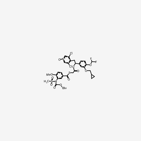 COc1ccc(C(=O)SCC(=O)OC(Cc2c(Cl)c[n+]([O-])cc2Cl)c2ccc(OC(F)F)c(OCC3CC3)c2)cc1N(C(=O)OC(C)(C)C)S(C)(=O)=O